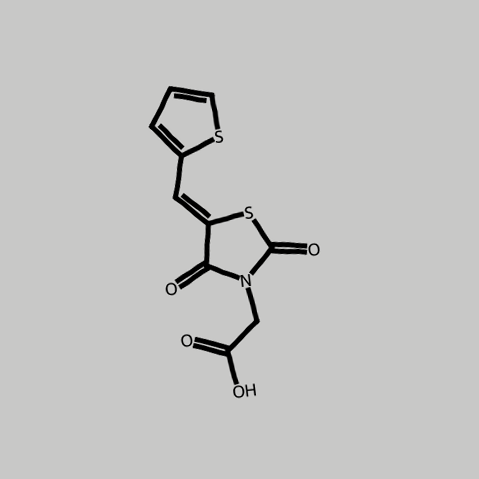 O=C(O)CN1C(=O)SC(=Cc2cccs2)C1=O